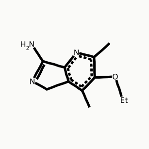 CCOc1c(C)nc2c(c1C)CN=C2N